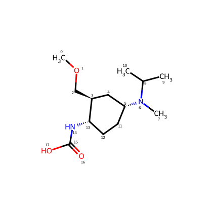 COC[C@H]1C[C@H](N(C)C(C)C)CC[C@@H]1NC(=O)O